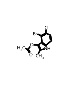 CC(=O)Oc1c(C)[nH]c2ccc(Cl)c(Br)c12